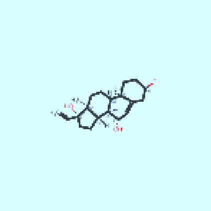 C=C[C@]1(O)CC[C@H]2[C@@H]3[C@@H](O)C=C4C[C@H](O)CC[C@]4(C)[C@H]3CC[C@@]21C